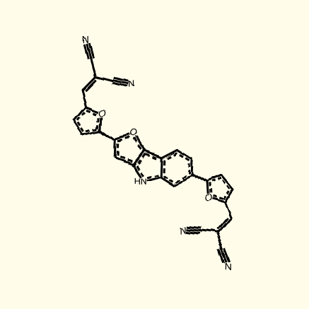 N#CC(C#N)=Cc1ccc(-c2ccc3c(c2)[nH]c2cc(-c4ccc(C=C(C#N)C#N)o4)oc23)o1